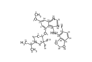 COc1cc(OC2CCN(C(C)C)CC2(F)F)c2c(Nc3c(F)ccc4c3OCO4)ncnc2c1